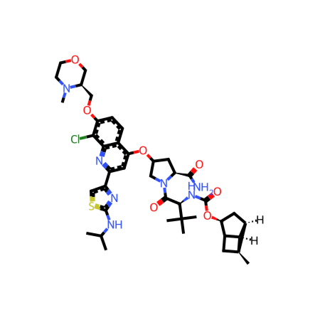 CC(C)Nc1nc(-c2cc(OC3C[C@@H](C(N)=O)N(C(=O)[C@@H](NC(=O)O[C@H]4C[C@@H]5[C@@H]6C4C[C@@]56C)C(C)(C)C)C3)c3ccc(OC[C@@H]4COCCN4C)c(Cl)c3n2)cs1